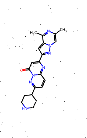 Cc1cn2nc(-c3cc(=O)n4nc(C5CCNCC5)ccc4n3)cc2c(C)n1